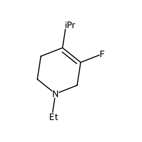 CCN1CCC(C(C)C)=C(F)C1